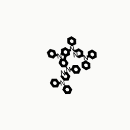 c1ccc(N(c2ccccc2)c2ccc(N(c3ccccc3)c3ccc4c(c3)c3cc(N(c5ccccc5)c5ccc(N(c6ccccc6)c6ccccc6)cn5)ccc3n4-c3ccccc3)nc2)cc1